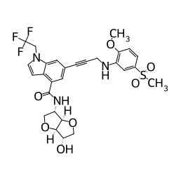 COc1ccc(S(C)(=O)=O)cc1NCC#Cc1cc(C(=O)N[C@H]2CO[C@H]3[C@@H]2OC[C@@H]3O)c2ccn(CC(F)(F)F)c2c1